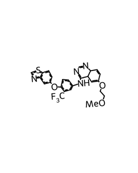 COCCOC1=CC2C(Nc3ccc(Oc4ccc5scnc5c4)c(C(F)(F)F)c3)=NC=NC2C=C1